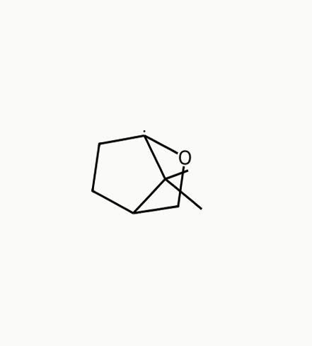 CC1(C)[C]2CCC1CO2